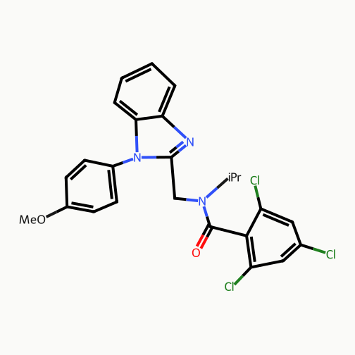 COc1ccc(-n2c(CN(C(=O)c3c(Cl)cc(Cl)cc3Cl)C(C)C)nc3ccccc32)cc1